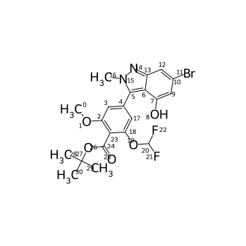 COc1cc(-c2c3c(O)cc(Br)cc3nn2C)cc(OC(F)F)c1C(=O)OC(C)(C)C